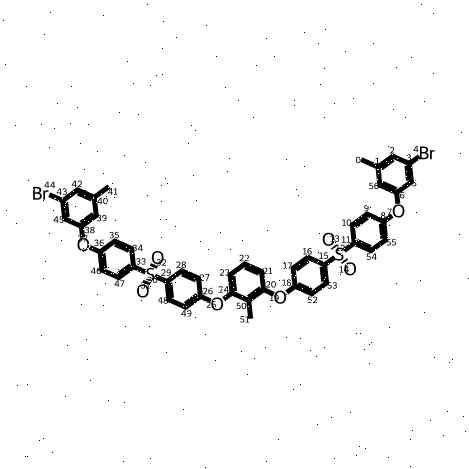 Cc1cc(Br)cc(Oc2ccc(S(=O)(=O)c3ccc(Oc4cccc(Oc5ccc(S(=O)(=O)c6ccc(Oc7cc(C)cc(Br)c7)cc6)cc5)c4C)cc3)cc2)c1